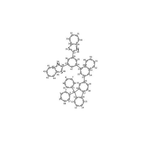 c1ccc(C2(c3ccccc3)c3ccccc3-c3ccc(-c4cc(-c5cc(-c6nc7ccccc7s6)cc(-c6nc7ccccc7s6)c5)c5ccccc5c4)cc32)cc1